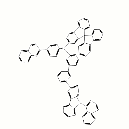 c1cc(-c2cccc(N(c3ccc(-c4ccc5ccccc5c4)cc3)c3ccc4c(c3)C3(c5ccccc5-c5ccccc53)c3ccccc3-4)c2)cc(-c2ccc3c(c2)c2ccccc2n3-c2cccc3ccccc23)c1